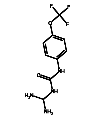 NC(N)NC(=O)Nc1ccc(OC(F)(F)F)cc1